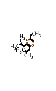 CCC1CSC(CC(C)C)=C(CC(C)C)S1